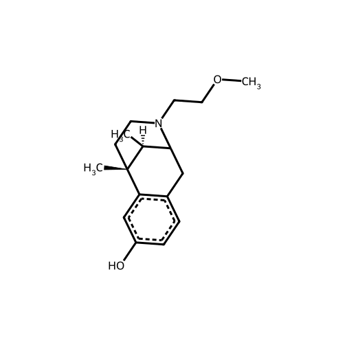 COCCN1CC[C@@]2(C)c3cc(O)ccc3CC1[C@@H]2C